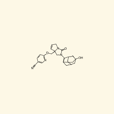 N#Cc1ccc(OCC23C=CCN2C(=O)N(C2C4CC5CC2CC(O)(C5)C4)C3)nc1